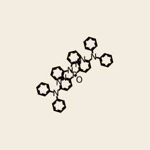 O=P(c1ccc(N(c2ccccc2)c2ccccc2)nn1)(c1ccc(N(c2ccccc2)c2ccccc2)nn1)N(c1ccccc1)c1ccccc1